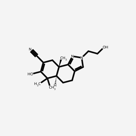 CC1(C)C(O)=C(C#N)C[C@]2(C)c3nn(CCO)cc3CC[C@@H]12